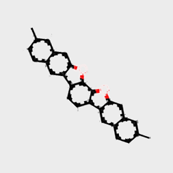 Cc1ccc2cc3c(cc2c1)oc1c3ccc2c3cc4ccc(C)cc4cc3oc21